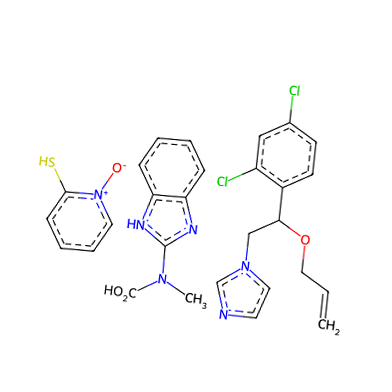 C=CCOC(Cn1ccnc1)c1ccc(Cl)cc1Cl.CN(C(=O)O)c1nc2ccccc2[nH]1.[O-][n+]1ccccc1S